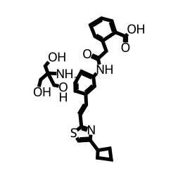 NC(CO)(CO)CO.O=C(Cc1ccccc1C(=O)O)Nc1cccc(C=Cc2nc(C3CCC3)cs2)c1